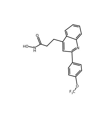 O=C(CCc1cc(-c2ccc(OC(F)(F)F)cc2)nc2ccccc12)NO